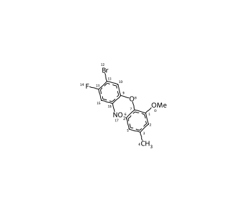 COc1cc(C)ccc1Oc1cc(Br)c(F)cc1[N+](=O)[O-]